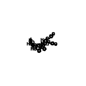 COc1ccc(COc2ccc(C(=O)NC(CO/N=C(\C(=O)O)c3csc(NC(=O)OC(C)(C)C)n3)C(=O)OC(c3ccccc3)c3ccccc3)c(Cl)c2OCc2ccc(OC)cc2)cc1